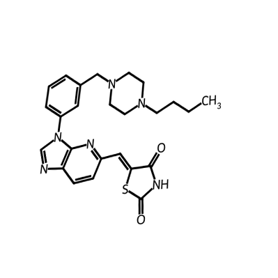 CCCCN1CCN(Cc2cccc(-n3cnc4ccc(/C=C5\SC(=O)NC5=O)nc43)c2)CC1